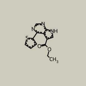 CCOC(=O)c1c[nH]c2ncnc(-c3cccs3)c12